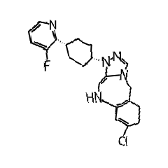 Fc1cccnc1[C@H]1CC[C@@H](N2N=CN3CC4=C(C=C(Cl)CC4)NC=C32)CC1